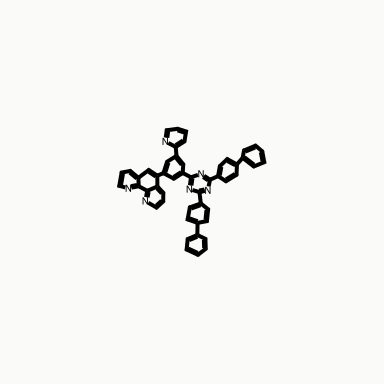 c1ccc(-c2ccc(-c3nc(-c4ccc(-c5ccccc5)cc4)nc(-c4cc(-c5ccccn5)cc(-c5cc6cccnc6c6ncccc56)c4)n3)cc2)cc1